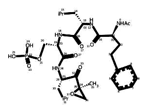 CC(=O)N[C@@H](CCc1ccccc1)C(=O)N[C@@H](CC(C)C)C(=O)N[C@@H](COP(=O)(O)O)C(=O)N[C@@H](CC(C)C)C(=O)[C@@]1(C)CO1